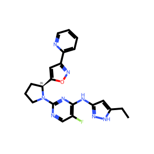 CCc1cc(Nc2nc(N3CCC[C@H]3c3cc(-c4ccccn4)no3)ncc2F)n[nH]1